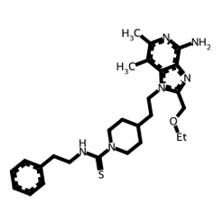 CCOCc1nc2c(N)nc(C)c(C)c2n1CCC1CCN(C(=S)NCCc2ccccc2)CC1